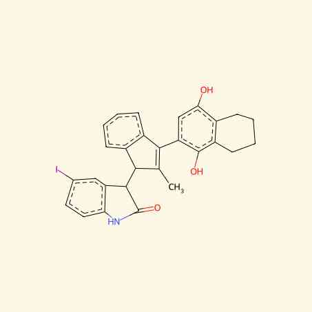 CC1=C(c2cc(O)c3c(c2O)CCCC3)c2ccccc2C1C1C(=O)Nc2ccc(I)cc21